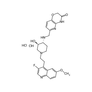 COc1ccc2ncc(F)c(CCN3CC[C@@H](NCc4ccc5c(n4)NC(=O)CO5)[C@H](O)C3)c2c1.Cl.Cl